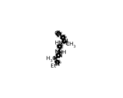 CCc1cc(N(C)c2cnc3[nH]c(-c4ccc(Nc5cc(C)nc6ccc(N7CCOCC7)cc56)cc4)nc3c2)ccn1